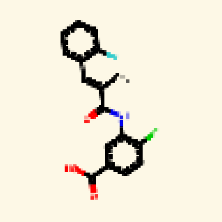 CC(=Cc1ccccc1F)C(=O)Nc1cc(C(=O)O)ccc1Cl